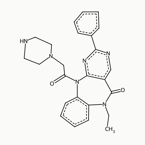 CCN1C(=O)c2cnc(-c3ccccc3)nc2N(C(=O)CN2CCNCC2)c2ccccc21